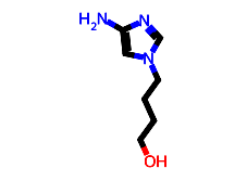 Nc1cn(CCCCO)cn1